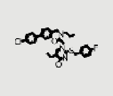 CCCN(Cc1ccc(-c2ccc(Cl)cc2)cc1)C(=O)Cn1cc(CC)c(=O)nc1SCc1ccc(F)cc1